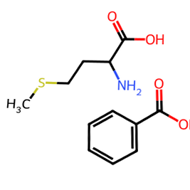 CSCCC(N)C(=O)O.O=C(O)c1ccccc1